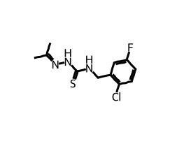 CC(C)=NNC(=S)NCc1cc(F)ccc1Cl